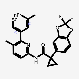 CCC/C(C)=C\C(=C/C(C)=O)c1nc(NC(=O)C2(c3ccc4c(c3)OC(F)(F)O4)CC2)ccc1C